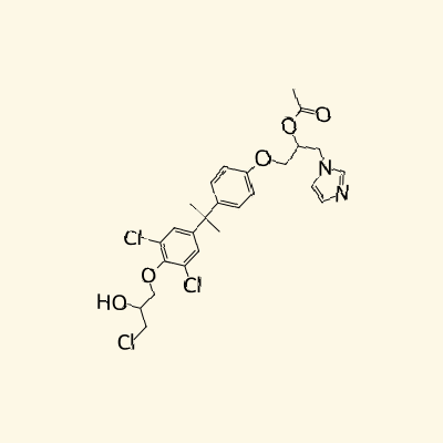 CC(=O)OC(COc1ccc(C(C)(C)c2cc(Cl)c(OCC(O)CCl)c(Cl)c2)cc1)Cn1ccnc1